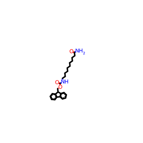 NC(=O)CCCCCCCCCCNC(=O)OCC1c2ccccc2-c2ccccc21